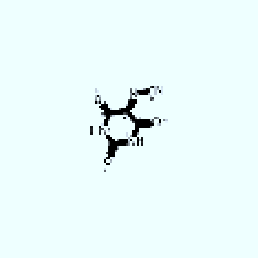 N#CN=C1C(=O)NC(=O)NC1=O